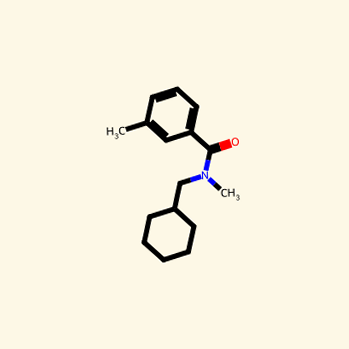 Cc1cccc(C(=O)N(C)CC2CCCCC2)c1